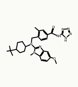 COc1ccc2c(c1)nc(N(Cc1ccc(C(=O)Nc3nnn[nH]3)cc1C)C1CCC(C(C)(C)C)CC1)n2C